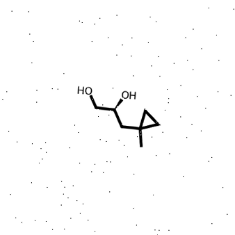 CC1(C[C@H](O)CO)CC1